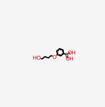 OCCCCOc1cccc(B(O)O)c1